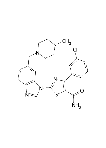 CN1CCN(Cc2ccc3ncn(-c4nc(-c5cccc(Cl)c5)c(C(N)=O)s4)c3c2)CC1